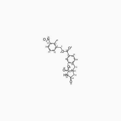 Cc1c(COC(=O)c2ccc(CN3CC(=O)NS3(=O)=O)cc2)cccc1[N+](=O)[O-]